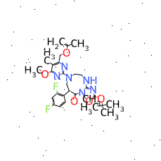 C=C(C)OCc1nc(N2CCN/C(=N/C(=O)OC(C)(C)C)N(C)C(=O)C(c3ccc(F)cc3F)C2)nc(OC)c1C